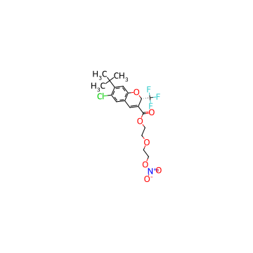 CC(C)(C)c1cc2c(cc1Cl)C=C(C(=O)OCCOCCO[N+](=O)[O-])[C@@H](C(F)(F)F)O2